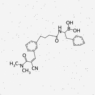 CN(C)C(=O)C(C#N)=Cc1cccc(CCCC(=O)NC(Cc2ccccc2)B(O)O)c1